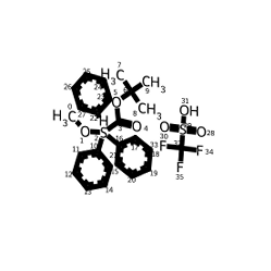 CO[SH](C(=O)OC(C)(C)C)(c1ccccc1)(c1ccccc1)c1ccccc1.O=S(=O)(O)C(F)(F)F